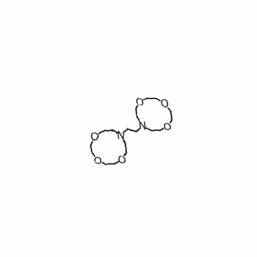 C1COCCN(CCN2CCOCCOCCOCC2)CCOCCO1